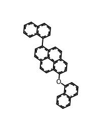 c1ccc2c(Oc3ccc4ccc5c(-c6cccc7ccccc67)ccc6ccc3c4c65)cccc2c1